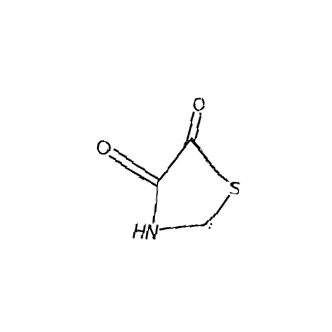 O=C1N[C]SC1=O